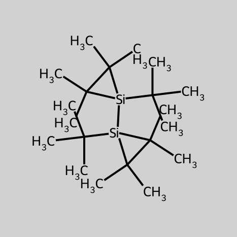 CC(C)(C)[Si]1([Si]2(C(C)(C)C)C(C)(C)C2(C)C)C(C)(C)C1(C)C